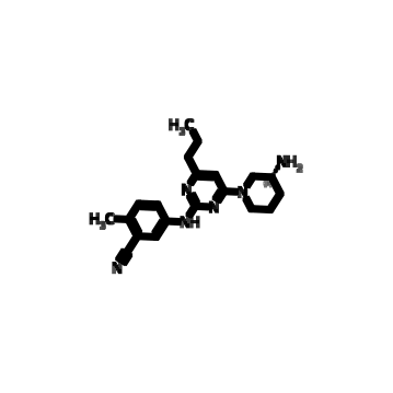 CCCc1cc(N2CCC[C@@H](N)C2)nc(Nc2ccc(C)c(C#N)c2)n1